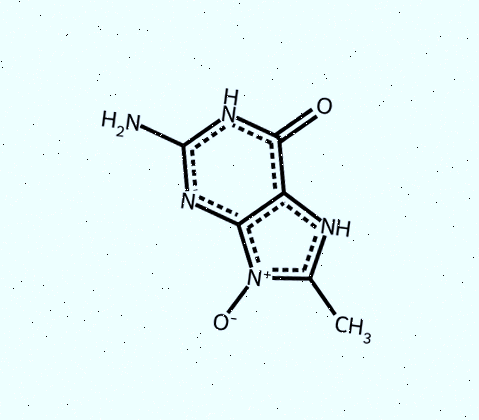 Cc1[nH]c2c(=O)[nH]c(N)nc2[n+]1[O-]